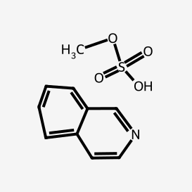 COS(=O)(=O)O.c1ccc2cnccc2c1